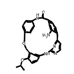 CC(C)Oc1ccc2cc1COc1ccc(cc1)NC(=O)c1ccc(c(N)c1)-c1ccnc(n1)N2